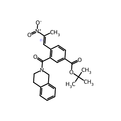 C/C(=C\c1ccc(C(=O)OC(C)(C)C)cc1C(=O)N1CCc2ccccc2C1)[N+](=O)[O-]